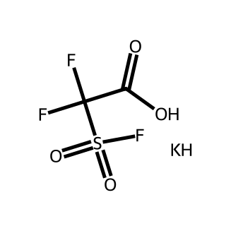 O=C(O)C(F)(F)S(=O)(=O)F.[KH]